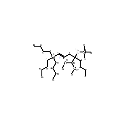 CCCCC(C/C=[CH]/[Sn]([CH2]CCC)([CH2]CCC)[CH2]CCC)(O[Si](C)(C)C)C(OC)OC